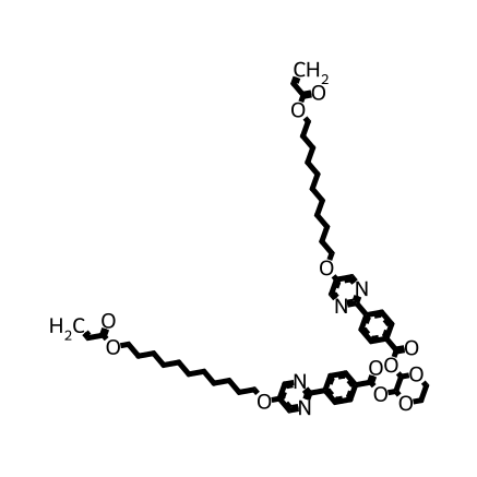 C=CC(=O)OCCCCCCCCCCCOc1cnc(-c2ccc(C(=O)OC3OCCOC3OC(=O)c3ccc(-c4ncc(OCCCCCCCCCCCOC(=O)C=C)cn4)cc3)cc2)nc1